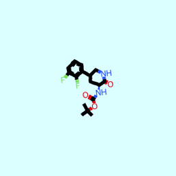 CC(C)(C)OC(=O)N[C@H]1CC(c2cccc(F)c2F)CNC1=O